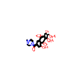 CN1CCN(C(=O)c2cc(O)c3c(c2)C(=O)c2cc(O)c(CO)c(O)c2C3=O)CC1